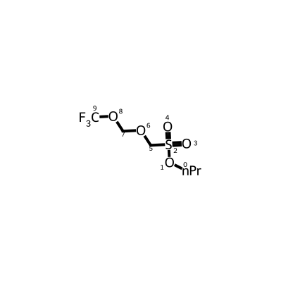 CCCOS(=O)(=O)COCOC(F)(F)F